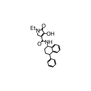 CCN1CC(C(=O)N[C@@H]2CCC(c3ccccc3)c3ccccc32)=C(O)C1=O